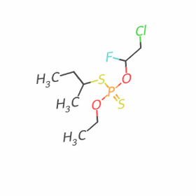 CCOP(=S)(OC(F)CCl)SC(C)CC